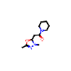 CC1=NN(C)C(CC(=O)N2CCCCC2)O1